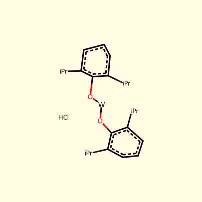 CC(C)c1cccc(C(C)C)c1[O][W][O]c1c(C(C)C)cccc1C(C)C.Cl